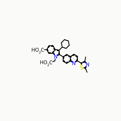 Cc1nc(C)c(-c2ccc3cc(-c4c(C5CCCCC5)c5ccc(C(=O)O)cc5n4CC(=O)O)ccc3n2)s1